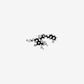 CCOC(=O)CC(NC(=O)c1cnn(CCc2ccc3c(n2)NCCC3)c1)c1cc(Br)cc(C(C)(C)C)c1